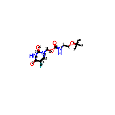 CC(C)(C)OCCNC(=O)OCn1cc(F)c(=O)[nH]c1=O